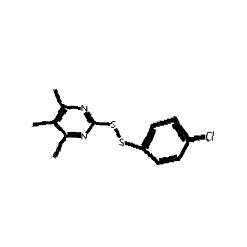 Cc1nc(SSc2ccc(Cl)cc2)nc(C)c1C